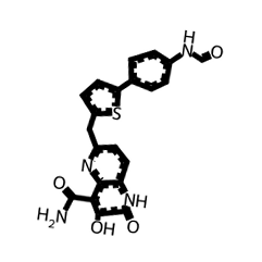 NC(=O)c1c(O)c(=O)[nH]c2ccc(Cc3ccc(-c4ccc(NC=O)cc4)s3)nc12